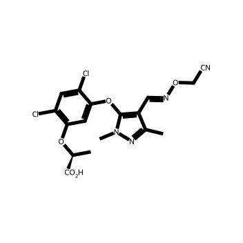 Cc1nn(C)c(Oc2cc(O[C@@H](C)C(=O)O)c(Cl)cc2Cl)c1/C=N/OCC#N